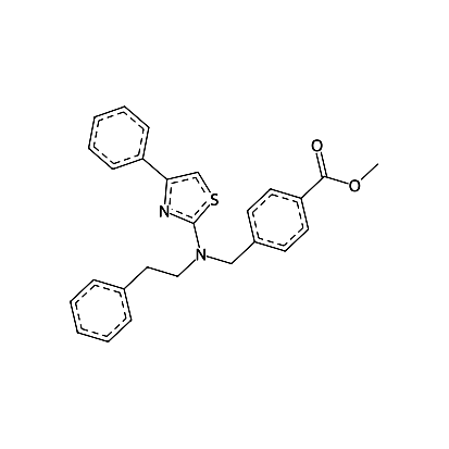 COC(=O)c1ccc(CN(CCc2ccccc2)c2nc(-c3ccccc3)cs2)cc1